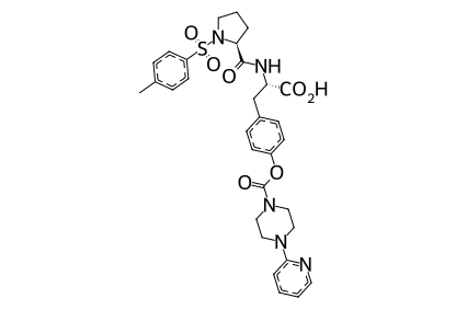 Cc1ccc(S(=O)(=O)N2CCC[C@H]2C(=O)N[C@@H](Cc2ccc(OC(=O)N3CCN(c4ccccn4)CC3)cc2)C(=O)O)cc1